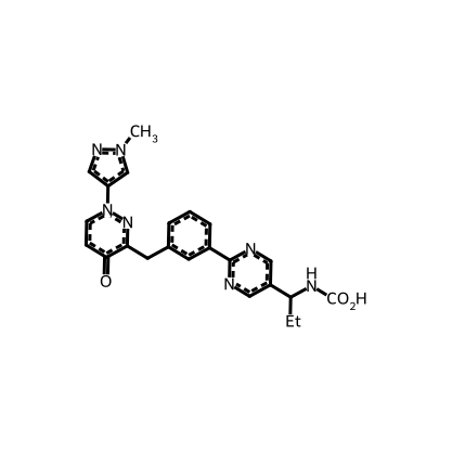 CCC(NC(=O)O)c1cnc(-c2cccc(Cc3nn(-c4cnn(C)c4)ccc3=O)c2)nc1